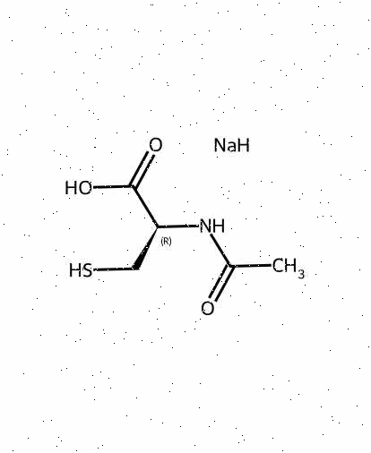 CC(=O)N[C@@H](CS)C(=O)O.[NaH]